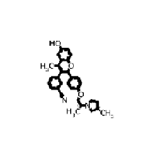 CC1=C(c2cccc(C#N)c2)C(c2ccc(OC[C@H](C)N3CC[C@@H](C)C3)cc2)Oc2ccc(O)cc21